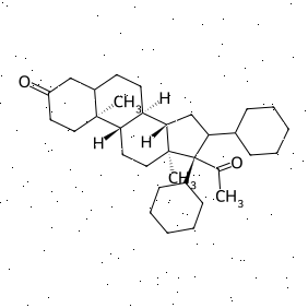 CC(=O)[C@@]1(C2CCCCC2)C(C2CCCCC2)C[C@H]2[C@@H]3CCC4CC(=O)CC[C@]4(C)[C@H]3CC[C@@]21C